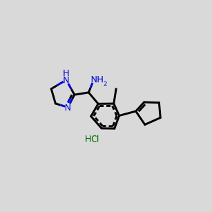 Cc1c(C2=CCCC2)cccc1C(N)C1=NCCN1.Cl